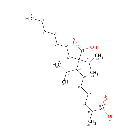 CCCCCCCC(C(=O)O)(C(C)C)C(CCCCC(C)C(=O)O)C(C)C